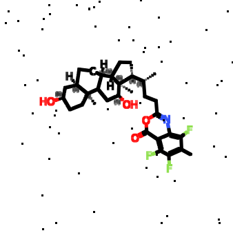 Cc1c(F)c(F)c2c(=O)oc(CC[C@@H](C)[C@H]3CC[C@H]4[C@@H]5CC[C@@H]6C[C@H](O)CC[C@]6(C)C5C[C@H](O)[C@]34C)nc2c1F